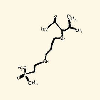 CC(C)C(NCCCNCCP(C)(C)=O)C(=O)O